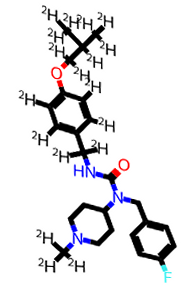 [2H]c1c([2H])c(C([2H])([2H])NC(=O)N(Cc2ccc(F)cc2)C2CCN(C([2H])([2H])[2H])CC2)c([2H])c([2H])c1OC([2H])([2H])C([2H])(C([2H])([2H])[2H])C([2H])([2H])[2H]